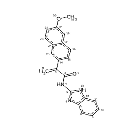 C=C(C(=O)Nc1nc2ccccc2[nH]1)c1ccc2cc(OC)ccc2c1